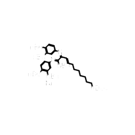 CCCCCCCCCCCCCCCCCC=CC(=Nc1ccc(CCCC)c(CCCC)c1)C(CCCC)=Nc1ccc(CCCC)c(CCCC)c1.[Ni]